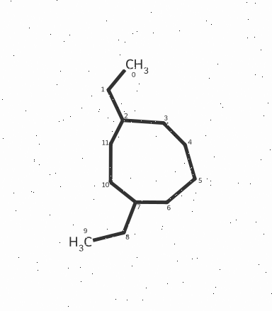 CCC1[CH]CCCC(CC)CC1